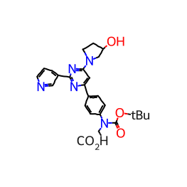 CC(C)(C)OC(=O)N(CC(=O)O)c1ccc(-c2cc(N3CCC(O)C3)nc(-c3cccnc3)n2)cc1